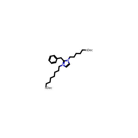 CCCCCCCCCCCCCCCCC[n+]1ccn(CCCCCCCCCCCCCCC)c1Cc1ccccc1